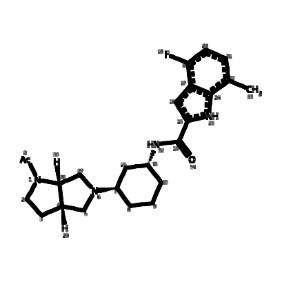 CC(=O)N1CC[C@H]2CN([C@@H]3CCC[C@@H](NC(=O)c4cc5c(F)ccc(C)c5[nH]4)C3)C[C@H]21